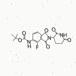 CC(C)(C)OC(=O)Nc1ccc2c(c1F)C(=O)N(C1CCC(=O)NC1=O)C2=O